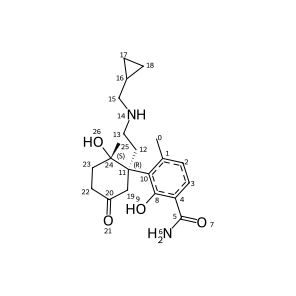 Cc1ccc(C(N)=O)c(O)c1[C@@]1(CCNCC2CC2)CC(=O)CC[C@]1(C)O